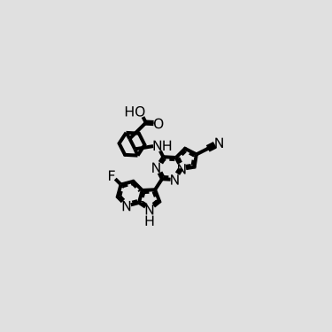 N#Cc1cc2c(NC3C4CCC(CC4)C3C(=O)O)nc(-c3c[nH]c4ncc(F)cc34)nn2c1